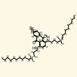 CCCCCCCCCC[N+](C)(C)CCCNc1ccc(NCCC[N+](C)(C)CCCCCCCCCC)c2c1C(=O)c1ccccc1C2=O.[Br-].[Br-]